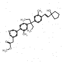 CCC(CC)(c1ccc(/C=C/C2(O)CCCC2)c(C)c1)c1ccc(-c2cncc(CC(=O)OC)c2)c(C)c1